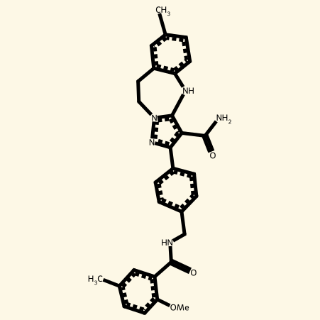 COc1ccc(C)cc1C(=O)NCc1ccc(-c2nn3c(c2C(N)=O)Nc2ccc(C)cc2CC3)cc1